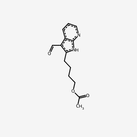 CC(=O)OCCCCc1[nH]c2ncccc2c1C=O